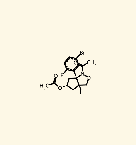 CC(=O)O[C@H]1C[C@H]2CON(C(C)=O)[C@@]2(c2cc(Br)ccc2F)C1